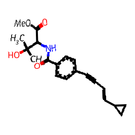 COC(=O)C(NC(=O)c1ccc(C#CC=CC2CC2)cc1)C(C)(C)O